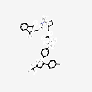 Cc1ccc(-c2cc(C(F)(F)F)nn2-c2ccc(S(=O)(=O)NC(=O)OC[C@@H]3CCN3/[N+]([O-])=N\OCN3C(=O)c4ccccc4C3=O)cc2)cc1